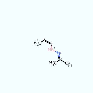 C/C=C\BN=C(C)C